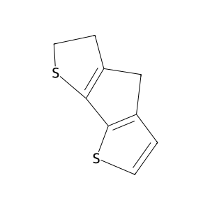 c1cc2c(s1)C1=C(CCS1)C2